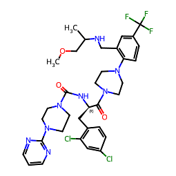 COCC(C)NCc1cc(C(F)(F)F)ccc1N1CCN(C(=O)[C@@H](Cc2ccc(Cl)cc2Cl)NC(=O)N2CCN(c3ncccn3)CC2)CC1